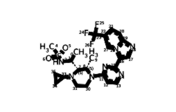 CC(NS(C)(=O)=O)[C@@H]1[C@H](C)N(c2ccnc(-c3cnc4ccc(C(F)(F)F)cn34)n2)CCN1C1CC1